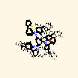 CC(C)(C)c1ccc2c(c1)B1c3cc(C(C)(C)C)ccc3N(c3cccc4c3sc3ccccc34)c3cc(N4c5ccc(C(C)(C)C)cc5C5(C)CCCCC45C)cc(c31)N2c1ccc(C(C)(C)C)cc1-c1ccccc1